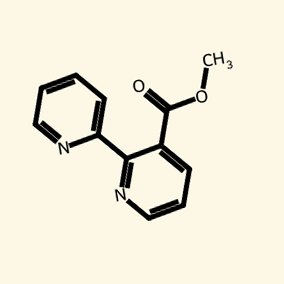 COC(=O)c1cccnc1-c1ccccn1